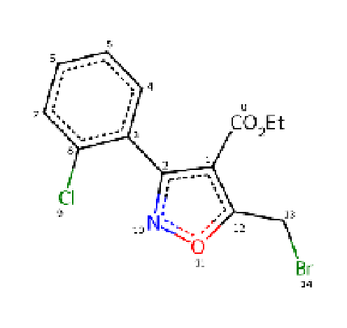 CCOC(=O)c1c(-c2ccccc2Cl)noc1CBr